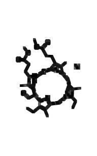 CCC1=C(C)c2cc3[nH]c(cc4nc(cc5[nH]c(c(C)c5CCC(=O)OC)c(C=O)c1n2)C(CCC(=O)OC)=C4C)c(C)c3CC.[Ni]